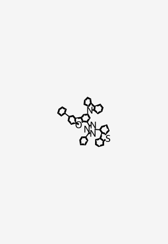 c1ccc(-c2ccc3oc4c(-c5nc(-c6ccccc6)nc(-c6cccc7sc8ccccc8c67)n5)cc(-n5c6ccccc6c6ccccc65)cc4c3c2)cc1